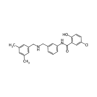 Cc1cc(C)cc(CNCc2cccc(NC(=O)c3cc(Cl)ccc3O)c2)c1